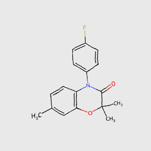 Cc1ccc2c(c1)OC(C)(C)C(=O)N2c1ccc(F)cc1